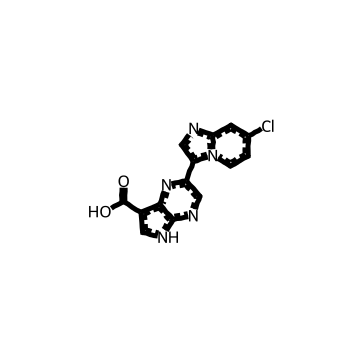 O=C(O)c1c[nH]c2ncc(-c3cnc4cc(Cl)ccn34)nc12